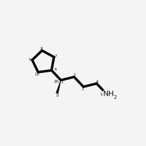 C[C@H](CCCN)C1CCCC1